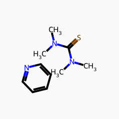 CN(C)C(=S)N(C)C.c1ccncc1